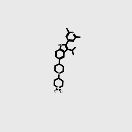 Cc1cc(-c2[nH]c3ccc(C4CCN(C5CCS(=O)(=O)CC5)CC4)cc3c2C(C)C)cc(C)n1